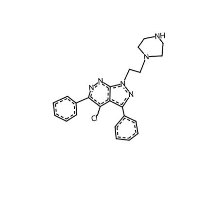 Clc1c(-c2ccccc2)nnc2c1c(-c1ccccc1)nn2CCN1CCNCC1